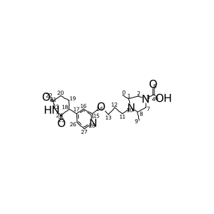 CC1CN(C(=O)O)CC(C)N1CCCOc1cc(C2CCC(=O)NC2=O)ccn1